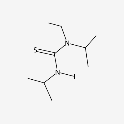 CCN(C(=S)N(I)C(C)C)C(C)C